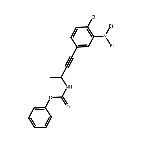 CCN(CC)c1cc(C#CC(C)NC(=O)Oc2ccccc2)ccc1Cl